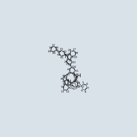 CC1C(C2(C)C=CC=CC2)=CC=C2Nc3ccc(-c4ccc5c(c4)c4ccccc4n5-c4ccc(-c5ccccc5)cc4)cc3-c3ccc4c5ccccc5n(c4c3)C3(C)C=CC=CC213